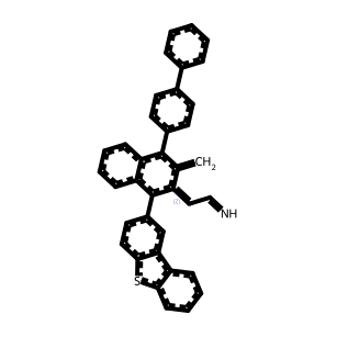 C=c1c(-c2ccc(-c3ccccc3)cc2)c2ccccc2c(-c2ccc3sc4ccccc4c3c2)/c1=C/C=N